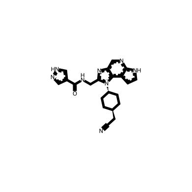 N#CC[C@H]1CC[C@H](n2c(CNC(=O)c3cn[nH]c3)nc3cnc4[nH]ccc4c32)CC1